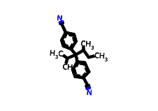 CCC(C)C(c1ccc(C#N)cc1)(c1ccc(C#N)cc1)C(C)C